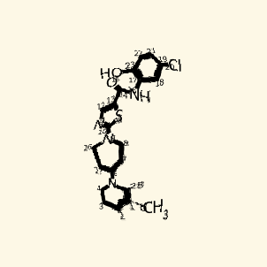 C[C@@H]1CCCN(C2CCN(c3ncc(C(=O)Nc4cc(Cl)ccc4O)s3)CC2)C1